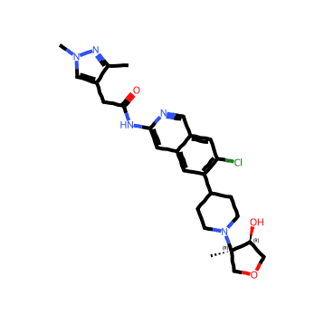 Cc1nn(C)cc1CC(=O)Nc1cc2cc(C3CCN([C@]4(C)COC[C@@H]4O)CC3)c(Cl)cc2cn1